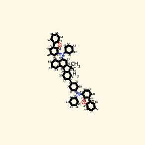 CC1(C)c2cc(-c3ccc(N(c4ccccc4)c4cccc5c4oc4ccccc45)cc3)ccc2-c2c1cc(N(c1ccccc1)c1cccc3c1oc1ccccc13)c1ccccc21